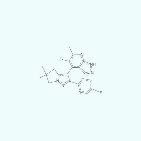 Cc1nc2[nH]ncc2c(-c2c(-c3ccc(F)cn3)nn3c2CC(C)(C)C3)c1F